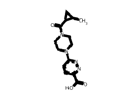 CC1CC1C(=O)N1CCN(c2ccc(C(=O)O)nn2)CC1